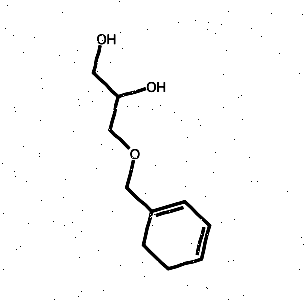 OCC(O)COCC1=CC=CCC1